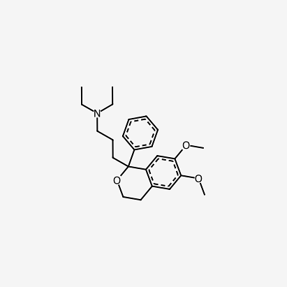 CCN(CC)CCCC1(c2ccccc2)OCCc2cc(OC)c(OC)cc21